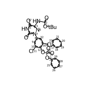 CC(C)(C)OC(=O)Nc1nn(-c2cc(Cl)c(OP(=O)(Oc3ccccc3)Oc3ccccc3)c(Cl)c2)c(=O)[nH]c1=O